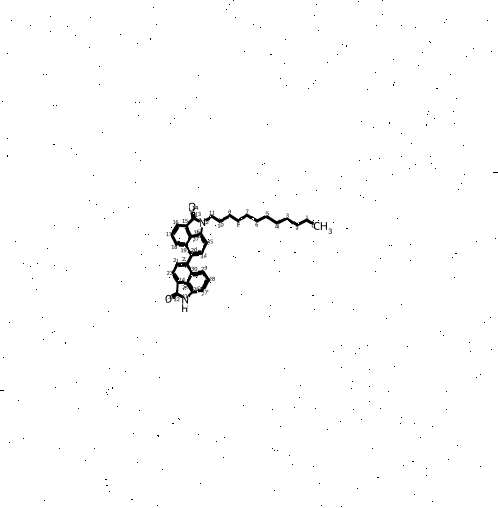 CCCCCCCCCCCCN1C(=O)c2cccc3c(-c4ccc5c6c(cccc46)NC5=O)ccc1c23